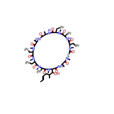 C/C=C/CC(C)C(O)C1C(=O)NC(C)C(=O)N(C)CC(=O)N(C)C(CC(C)C)C(=O)NC(C(C)C)C(=O)N(C)C(CC(C)C)C(=O)NC(C)C(=O)NC(C)C(=O)N(C)C(CC(C)C)C(=O)N(C)C(CC(C)C)C(=O)N(C)C(C(C)C)C(=O)N1C